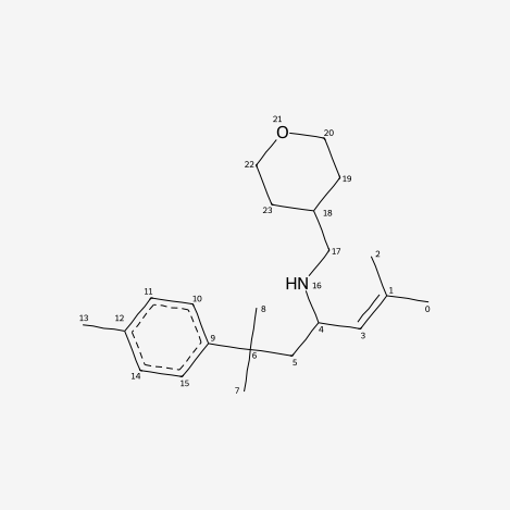 CC(C)=CC(CC(C)(C)c1ccc(C)cc1)NCC1CCOCC1